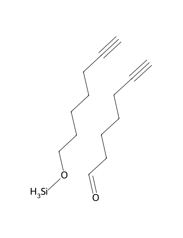 C#CCCCCC=O.C#CCCCCCO[SiH3]